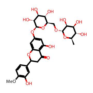 COc1ccc(C2CC(=O)c3c(O)cc(O[C@@H]4O[C@H](CO[C@H]5O[C@H](C)[C@@H](O)[C@H](O)[C@@H]5O)[C@@H](O)[C@H](O)[C@H]4O)cc3O2)cc1O